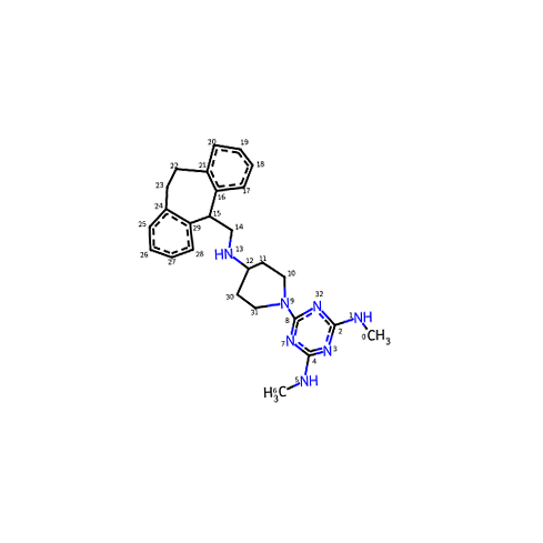 CNc1nc(NC)nc(N2CCC(NCC3c4ccccc4CCc4ccccc43)CC2)n1